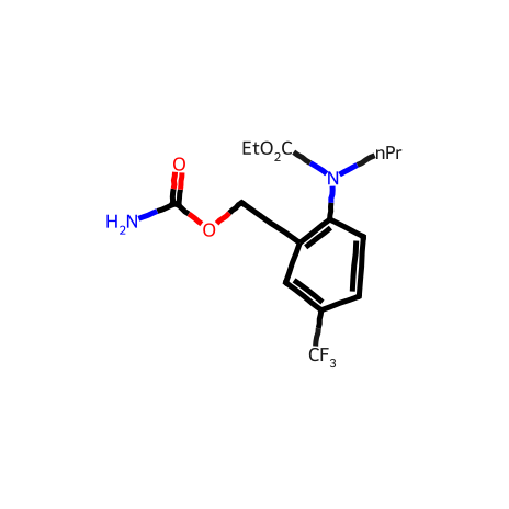 CCCN(C(=O)OCC)c1ccc(C(F)(F)F)cc1COC(N)=O